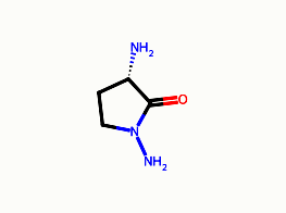 N[C@H]1CCN(N)C1=O